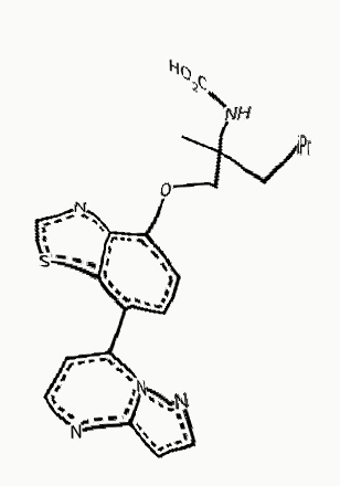 CC(C)CC(C)(COc1ccc(-c2ccnc3ccnn23)c2scnc12)NC(=O)O